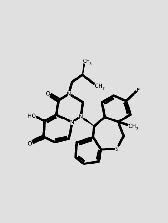 C[C@@H](CN1CN([C@@H]2c3ccccc3SCC3(C)C=C(F)C=CC23)n2ccc(=O)c(O)c2C1=O)C(F)(F)F